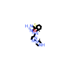 C/N=C\c1c(N)sc2c1[C@@](C)(c1nc(-c3ccnc(N4CCNC[C@@H]4C)n3)no1)CCC2